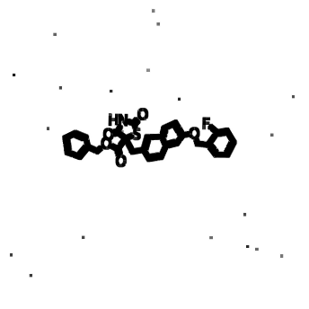 O=C1NC(=O)C(Cc2ccc3cc(OCc4ccccc4F)ccc3c2)(C(=O)OCc2ccccc2)S1